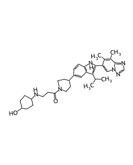 Cc1c(-c2[nH]c3ccc(C4CCN(C(=O)CCNC5CCC(O)CC5)CC4)cc3c2C(C)C)cn2ncnc2c1C